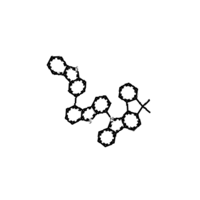 CC1(C)c2ccccc2-c2c1ccc1c3ccccc3n(-c3cccc4c3sc3cccc(-c5ccc6sc7ccccc7c6c5)c34)c21